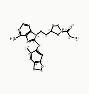 Nc1nccc2c1nc(Sc1cc3c(cc1Cl)CCO3)n2CCC1CCN(C(=O)CO)C1